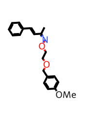 COc1ccc(COCCON=C(C)C=Cc2ccccc2)cc1